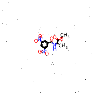 COC(=O)C(C)NC(=O)c1cc([N+](=O)[O-])cc([N+](=O)[O-])c1